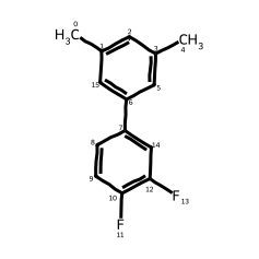 Cc1[c]c(C)cc(-c2ccc(F)c(F)c2)c1